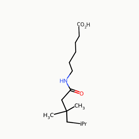 CC(C)CC(C)(C)CC(=O)NCCCCCC(=O)O